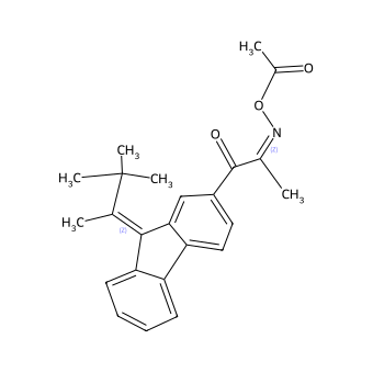 CC(=O)O/N=C(/C)C(=O)c1ccc2c(c1)/C(=C(/C)C(C)(C)C)c1ccccc1-2